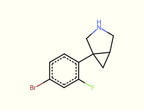 Fc1cc(Br)ccc1C12CNCC1C2